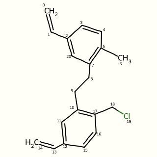 C=Cc1ccc(C)c(CCc2cc(C=C)ccc2CCl)c1